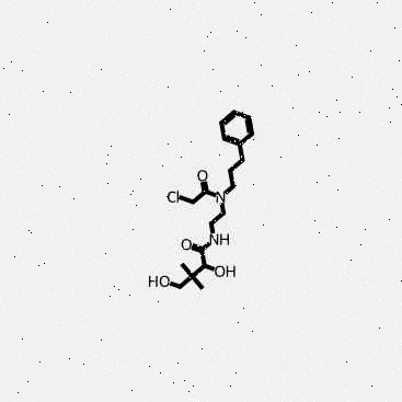 CC(C)(CO)C(O)C(=O)NCCN(CCCc1ccccc1)C(=O)CCl